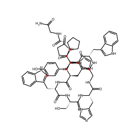 NC(=O)CNC(=O)[C@@H]1CCCN1C(=O)[C@H](Cc1ccc(O)cc1)NC(=O)[C@H](Cc1c[nH]c2ccccc12)NC(=O)CNC(=O)[C@H](Cc1cnc[nH]1)NC(=O)[C@H](CO)NC(=O)[C@H](Cc1c[nH]c2ccccc12)NC(=O)[C@H](Cc1cnc[nH]1)NC(=O)[C@@H]1CCC(=O)N1